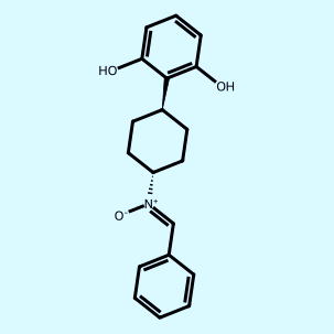 [O-]/[N+](=C\c1ccccc1)[C@H]1CC[C@H](c2c(O)cccc2O)CC1